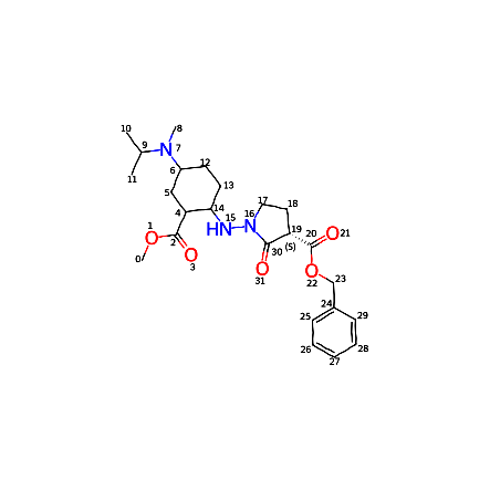 COC(=O)C1CC(N(C)C(C)C)CCC1NN1CC[C@H](C(=O)OCc2ccccc2)C1=O